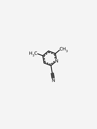 Cc1cc(C)nc(C#N)c1